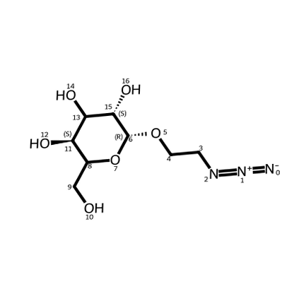 [N-]=[N+]=NCCO[C@@H]1OC(CO)[C@@H](O)C(O)[C@@H]1O